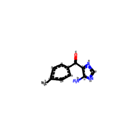 Cc1ccc(C(=O)c2nc[nH]c2N)cc1